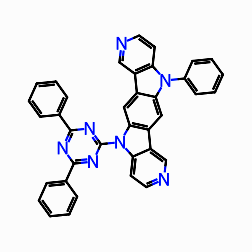 c1ccc(-c2nc(-c3ccccc3)nc(-n3c4ccncc4c4cc5c(cc43)c3cnccc3n5-c3ccccc3)n2)cc1